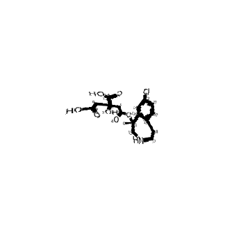 C[C@]1(OC(=O)CC(O)(CC(=O)O)C(=O)O)CNCCc2ccc(Cl)cc21